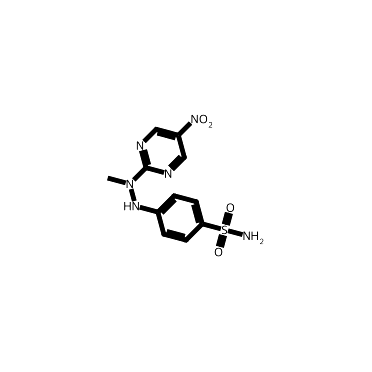 CN(Nc1ccc(S(N)(=O)=O)cc1)c1ncc([N+](=O)[O-])cn1